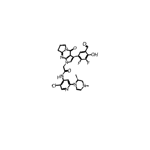 C[C@H]1CN(C)CCN1c1cc(NC(=O)Cn2cc(-c3cc(C=O)c(O)c(F)c3F)c3c(=O)n4c(nc32)CCC4)c(Cl)cn1